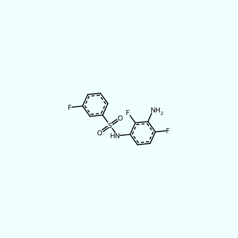 Nc1c(F)ccc(NS(=O)(=O)c2cccc(F)c2)c1F